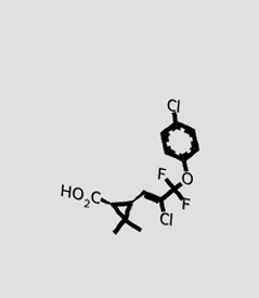 CC1(C)[C@H](C=C(Cl)C(F)(F)Oc2ccc(Cl)cc2)[C@@H]1C(=O)O